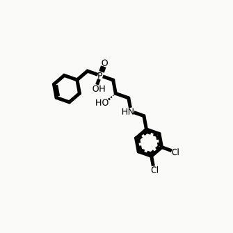 O=P(O)(CC1CC=CCC1)C[C@@H](O)CNCc1ccc(Cl)c(Cl)c1